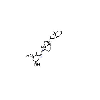 C=C1/C(=C\C=C2/CCC[C@]3(C)[C@@H](C(C)CN4CCCCC4(C)C)CC[C@@H]23)C[C@@H](O)C[C@H]1O